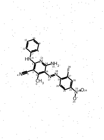 Cc1c(C#N)c(Nc2ccccc2)nc(N)c1N=Nc1ccc([N+](=O)[O-])cc1F